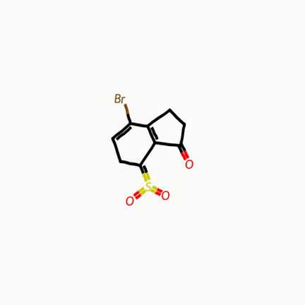 O=C1CCC2=C1C(=S(=O)=O)CC=C2Br